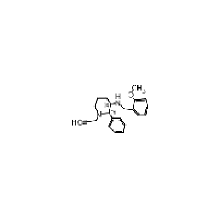 C#CCN1CCC[C@@H](NCc2ccccc2OC)[C@H]1c1ccccc1